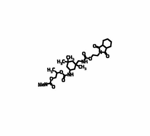 CNC(=O)OCC(C)OC(=O)NC1CC(C)(C)CC(C)(CNC(=O)OCCN2C(=O)C3CCCCC3C2=O)C1